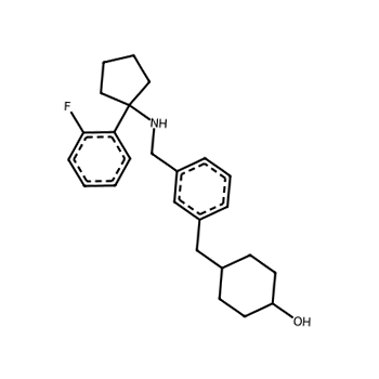 OC1CCC(Cc2cccc(CNC3(c4ccccc4F)CCCC3)c2)CC1